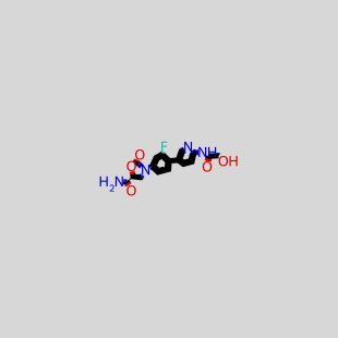 NC(=O)[C@H]1CN(c2ccc(-c3ccc(NC(=O)CO)nc3)c(F)c2)C(=O)O1